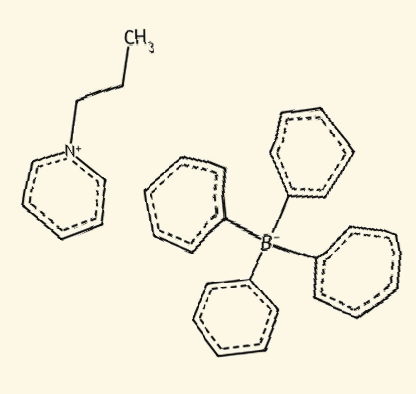 CCC[n+]1ccccc1.c1ccc([B-](c2ccccc2)(c2ccccc2)c2ccccc2)cc1